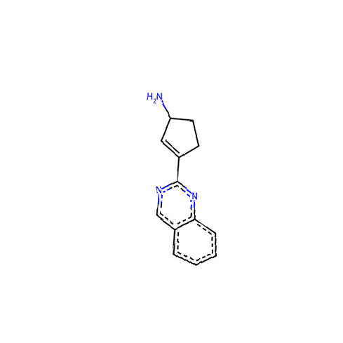 NC1C=C(c2ncc3ccccc3n2)CC1